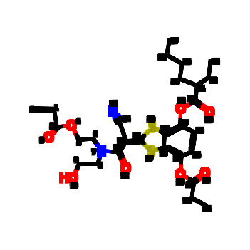 C=CC(=O)OCCN(CCO)C(=O)/C(C#N)=C1\Sc2c(OC(=O)CC)ccc(OC(=O)C(CC)CCCC)c2S1